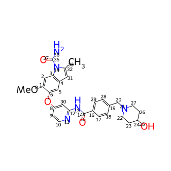 COc1cc2c(cc1Oc1ccnc(NC(=O)c3ccc(CN4CCC(O)CC4)cc3)c1)cc(C)n2C(N)=O